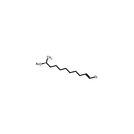 CC/C=C/CCCCCCC[C@H](C)OC(C)=O